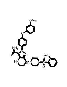 COc1cccc(Oc2ccc(-n3nc4c(c3C(N)=O)NCC[C@H]4N3CCN(S(=O)(=O)c4ccccc4[N+](=O)[O-])CC3)cc2)c1